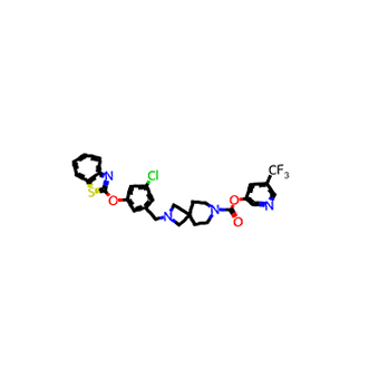 O=C(Oc1cncc(C(F)(F)F)c1)N1CCC2(CC1)CN(Cc1cc(Cl)cc(Oc3nc4ccccc4s3)c1)C2